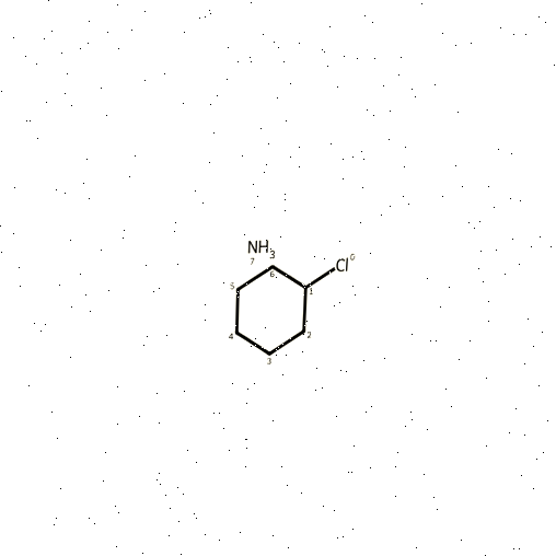 ClC1CCCCC1.N